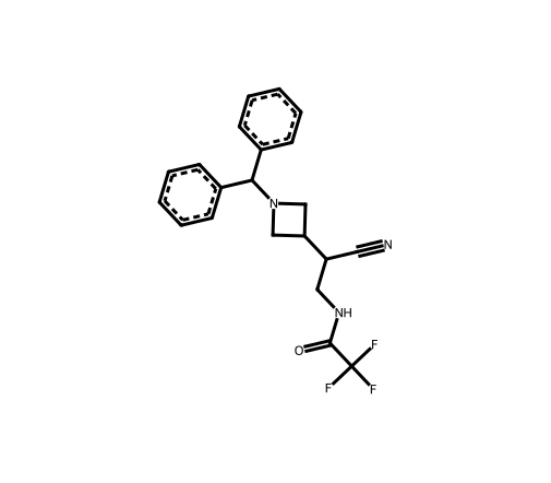 N#CC(CNC(=O)C(F)(F)F)C1CN(C(c2ccccc2)c2ccccc2)C1